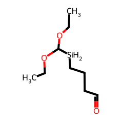 CCOC(OCC)[SiH2]CCCC=O